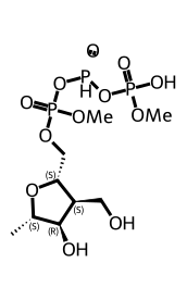 COP(=O)(O)O[PH](=O)OP(=O)(OC)OC[C@H]1O[C@@H](C)[C@H](O)[C@@H]1CO